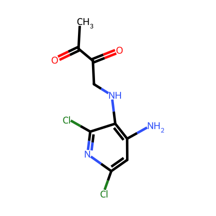 CC(=O)C(=O)CNc1c(N)cc(Cl)nc1Cl